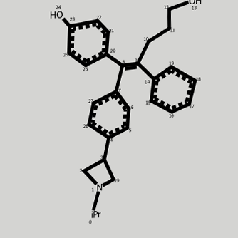 CC(C)N1CC(c2ccc(C(=C(CCCO)c3ccccc3)c3ccc(O)cc3)cc2)C1